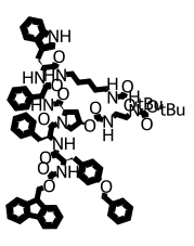 CC(C)(C)OC(=O)NCCCCCNC(=O)[C@@H](Cc1c[nH]c2ccccc12)NC(=O)[C@@H](NC(=O)[C@@H]1C[C@@H](OC(=O)NCCNC(=O)OC(C)(C)C)CN1C(=O)[C@H](Cc1ccccc1)NC(=O)[C@H](Cc1ccc(OCc2ccccc2)cc1)NC(=O)OCC1c2ccccc2-c2ccccc21)c1ccccc1